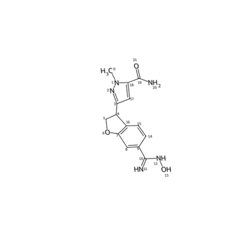 Cn1nc(C2COc3cc(C(=N)NO)ccc32)cc1C(N)=O